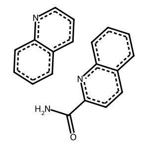 NC(=O)c1ccc2ccccc2n1.c1ccc2ncccc2c1